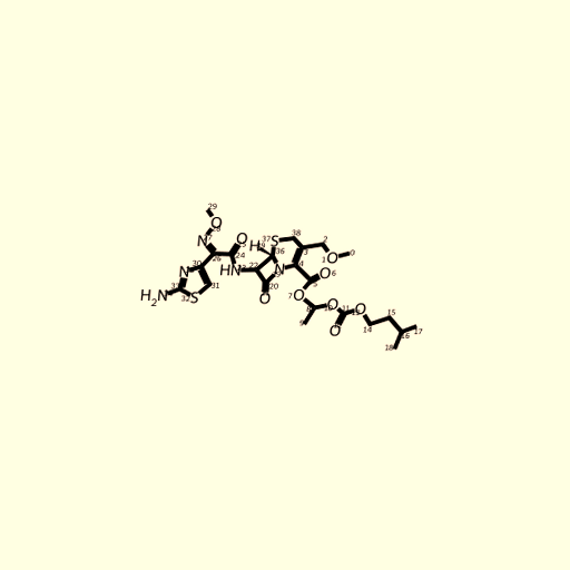 COCC1=C(C(=O)OC(C)OC(=O)OCCC(C)C)N2C(=O)C(NC(=O)/C(=N\OC)c3csc(N)n3)[C@@H]2SC1